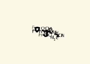 C=C(C#N)CCNC(=O)C(=O)c1c(C)c(C(=O)Nc2ccc(F)c(F)c2)n2c1CCC2